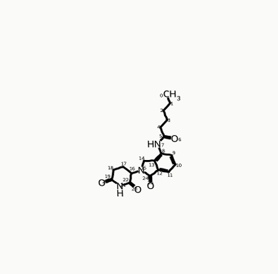 CCCCCC(=O)Nc1cccc2c1CN(C1CCC(=O)NC1=O)C2=O